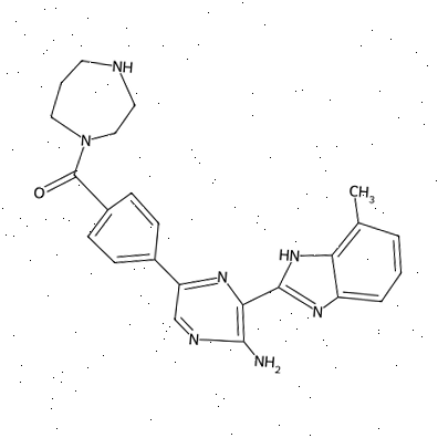 Cc1cccc2nc(-c3nc(-c4ccc(C(=O)N5CCCNCC5)cc4)cnc3N)[nH]c12